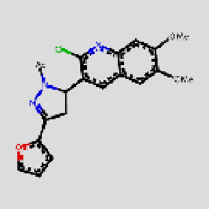 COc1cc2cc(C3CC(c4ccco4)=NN3C(C)=O)c(Cl)nc2cc1OC